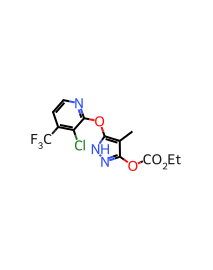 CCOC(=O)Oc1n[nH]c(Oc2nccc(C(F)(F)F)c2Cl)c1C